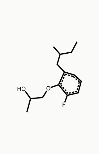 CCC(C)Cc1cccc(F)c1OCC(C)O